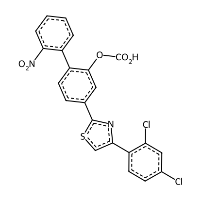 O=C(O)Oc1cc(-c2nc(-c3ccc(Cl)cc3Cl)cs2)ccc1-c1ccccc1[N+](=O)[O-]